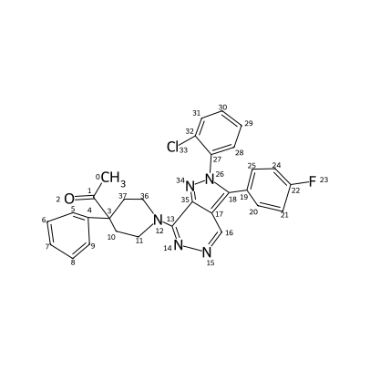 CC(=O)C1(c2ccccc2)CCN(c2nncc3c(-c4ccc(F)cc4)n(-c4ccccc4Cl)nc23)CC1